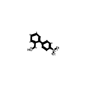 CCN(CC)c1ccc(-c2ccccc2CO)cc1